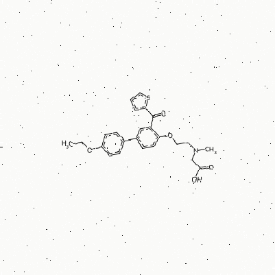 CCOc1ccc(-c2ccc(OCCN(C)CC(=O)O)c(C(=O)c3cccs3)c2)cc1